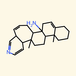 CC12CCCCC1=CCC1(N)C2CCC2(C)C3C=CN=CC3C=CCC21